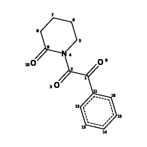 O=C(C(=O)N1CCCCC1=O)c1ccccc1